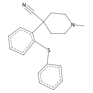 CN1CCC(C#N)(c2ccccc2Sc2ccccc2)CC1